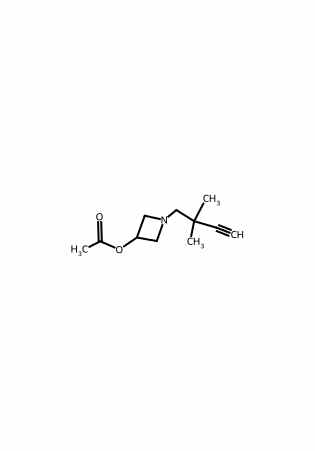 C#CC(C)(C)CN1CC(OC(C)=O)C1